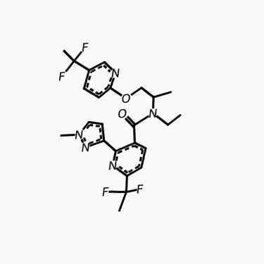 CCN(C(=O)c1ccc(C(C)(F)F)nc1-c1ccn(C)n1)C(C)COc1ccc(C(C)(F)F)cn1